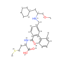 COCC(CC1CCCCC1)NCc1ccc(C(=O)NC(CCSC)C(=O)O)c(-c2ccccc2C)c1